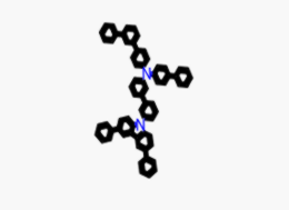 c1ccc(-c2ccc(N(c3ccc(-c4cccc(-c5ccccc5)c4)cc3)c3cccc(-c4cccc(-n5c6ccc(-c7ccccc7)cc6c6cc(-c7ccccc7)ccc65)c4)c3)cc2)cc1